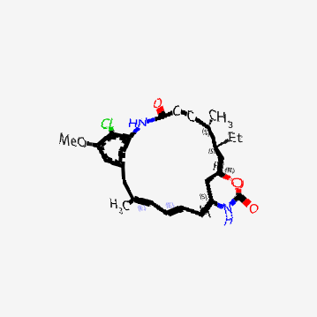 CC[C@H]1C[C@@H]2C[C@H](C/C=C/C=C(\C)Cc3cc(c(Cl)c(OC)c3)NC(=O)CC[C@@H]1C)NC(=O)O2